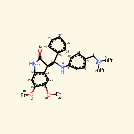 CCCN(CCC)Cc1ccc(NC(=C2C(=O)Nc3cc(OCC)c(OCC)cc32)c2ccccc2)cc1